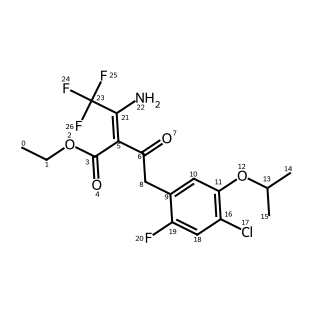 CCOC(=O)C(C(=O)Cc1cc(OC(C)C)c(Cl)cc1F)=C(N)C(F)(F)F